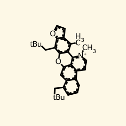 Cc1c2c(c(CC(C)(C)C)c3occc13)Oc1cc3c(CC(C)(C)C)cccc3c3cc[n+](C)c-2c13